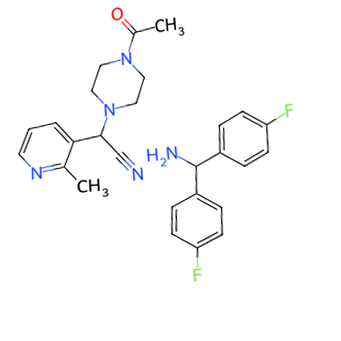 CC(=O)N1CCN(C(C#N)c2cccnc2C)CC1.NC(c1ccc(F)cc1)c1ccc(F)cc1